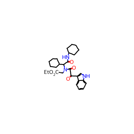 CCOC(=O)CN(C(=O)C(=O)c1c[nH]c2ccccc12)C(C(=O)NC1CCCCC1)C1CCCCC1